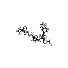 Cc1oc(-c2ccc3c(c2)OCO3)nc1Cc1ccc(/C=C/CSC(=O)C2CCC2)o1